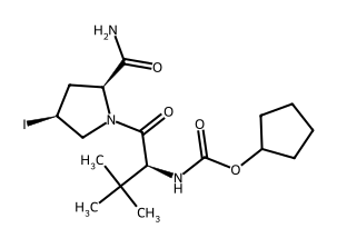 CC(C)(C)[C@H](NC(=O)OC1CCCC1)C(=O)N1C[C@@H](I)C[C@H]1C(N)=O